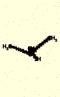 CCCCCCCCCCCCCCCCCC(=O)O[Si](CCCCCCS)(OCC)OC(=O)CCCCCCCCCCCCCCCCC